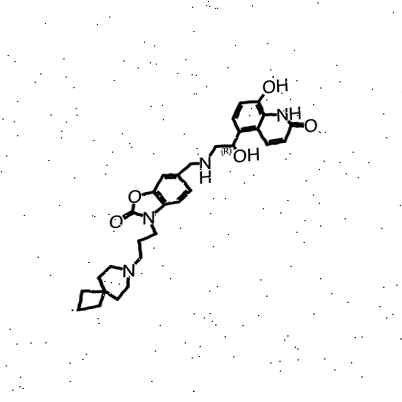 O=c1ccc2c([C@@H](O)CNCc3ccc4c(c3)oc(=O)n4CCCN3CCC4(C[CH]C4)CC3)ccc(O)c2[nH]1